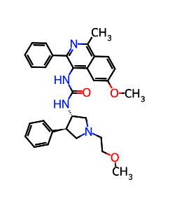 COCCN1C[C@@H](NC(=O)Nc2c(-c3ccccc3)nc(C)c3ccc(OC)cc23)[C@H](c2ccccc2)C1